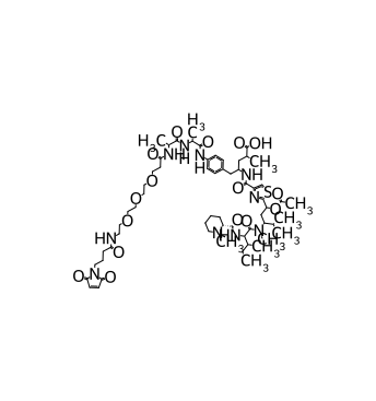 CCC(C)C(NC(=O)[C@H]1CCCCN1C)C(=O)N(C)C(CC(OC(C)=O)c1nc(C(=O)NC(Cc2ccc(NC(=O)C(C)NC(=O)C(C)NC(=O)CCOCCOCCOCCNC(=O)CCCN3C(=O)C=CC3=O)cc2)CC(C)C(=O)O)cs1)C(C)C